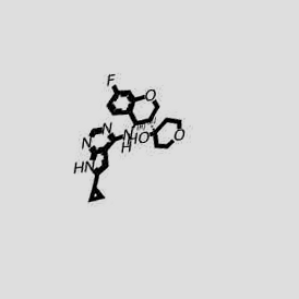 OC1([C@H]2COc3cc(F)ccc3[C@@H]2Nc2ncnc3[nH]c(C4CC4)cc23)CCOCC1